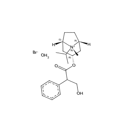 CC(C)[N@@+]1(C)[C@@H]2CC[C@H]1C[C@@H](OC(=O)C(CO)c1ccccc1)C2.O.[Br-]